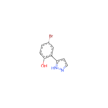 Oc1ccc(Br)cc1-c1ccn[nH]1